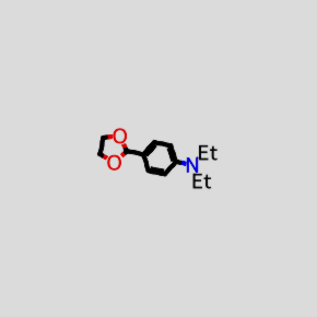 CCN(CC)c1ccc(C2OCCO2)cc1